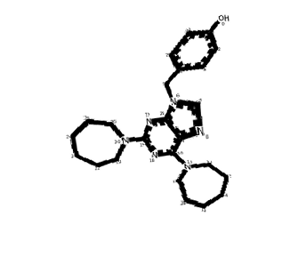 Oc1ccc(Cn2cnc3c(N4CCCCCC4)nc(N4CCCCCC4)nc32)cc1